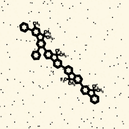 Cc1cc2c(cc1-c1ccccc1)-c1cc(-c3ccccc3)c(-c3ccc4c(c3)C(C)(C(F)(F)F)c3cc(-c5ccc6c(c5)C(C)(C(F)(F)F)c5cc(-c7ccc8c(c7)C(C)(C(F)(F)F)c7ccccc7-8)ccc5-6)ccc3-4)cc1C2(C)C